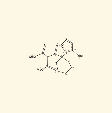 COC(=O)C(C(=O)OC)C(=O)C1(n2cccc2C(C)(C)C)CCCCC1